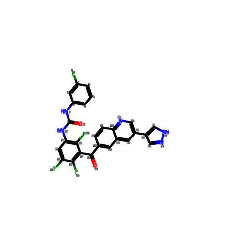 O=C(Nc1cccc(F)c1)Nc1cc(F)c(F)c(C(=O)c2ccc3ncc(-c4cn[nH]c4)cc3c2)c1F